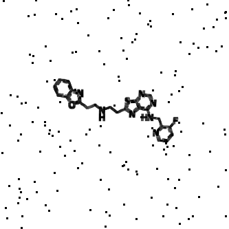 Fc1cccnc1CNc1ncnc2sc(CCNCCc3nc4ccccc4o3)nc12